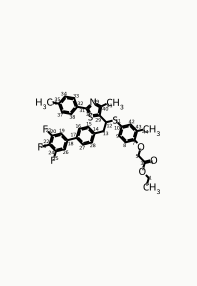 CCOC(=O)COc1ccc(SC(Cc2ccc(-c3cc(F)c(F)c(F)c3)cc2)c2sc(-c3ccc(C)cc3)nc2C)cc1C